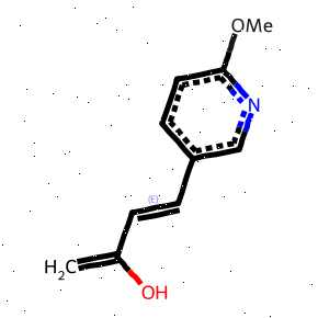 C=C(O)/C=C/c1ccc(OC)nc1